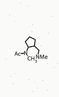 CNCC1CCCC1N(C)C(C)=O